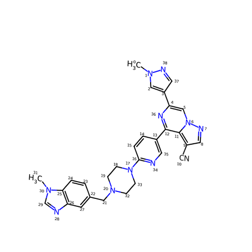 Cn1cc(-c2cn3ncc(C#N)c3c(-c3ccc(N4CCN(Cc5ccc6c(c5)ncn6C)CC4)nc3)n2)cn1